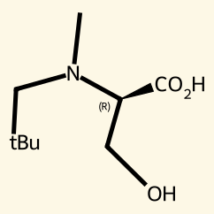 CN(CC(C)(C)C)[C@H](CO)C(=O)O